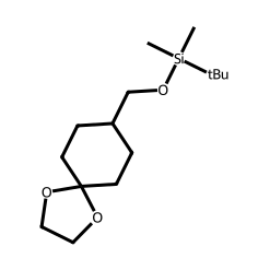 CC(C)(C)[Si](C)(C)OCC1CCC2(CC1)OCCO2